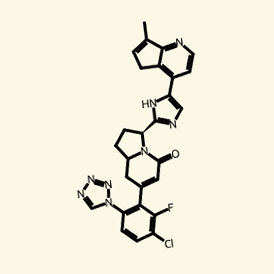 CC1=CCc2c(-c3cnc([C@@H]4CCC5CC(c6c(-n7cnnn7)ccc(Cl)c6F)=CC(=O)N54)[nH]3)ccnc21